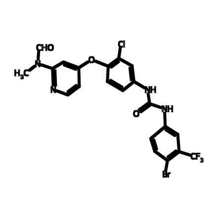 CN(C=O)c1cc(Oc2ccc(NC(=O)Nc3ccc(Br)c(C(F)(F)F)c3)cc2Cl)ccn1